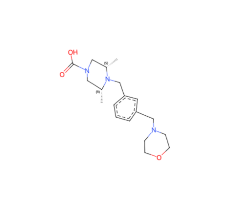 C[C@@H]1CN(C(=O)O)C[C@H](C)N1Cc1cccc(CN2CCOCC2)c1